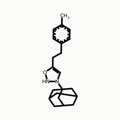 Cc1ccc(CCC2=CN(C34CC5CC(CC(C5)C3)C4)NO2)cc1